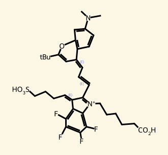 CN(C)c1ccc2c(c1)OC(C(C)(C)C)=C/C2=C\C=C\C1=[N+](CCCCCC(=O)O)c2c(F)c(F)c(F)c(F)c2/C1=C\CCCS(=O)(=O)O